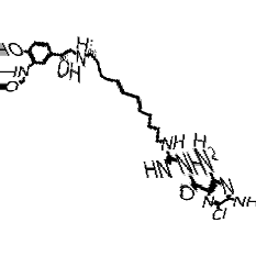 C[C@H](CCCCCCCCCCNC(=N)NC(=O)c1nc(Cl)c(N)nc1N)NC[C@@H](O)c1ccc(O)c(NC=O)c1